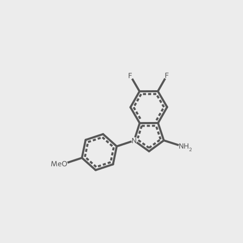 COc1ccc(-n2cc(N)c3cc(F)c(F)cc32)cc1